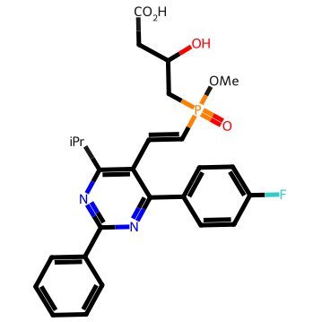 COP(=O)(C=Cc1c(-c2ccc(F)cc2)nc(-c2ccccc2)nc1C(C)C)CC(O)CC(=O)O